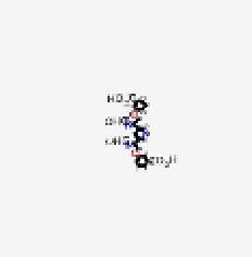 O=CN=C(COc1cccc(C(=O)O)c1)c1cncc(C(COc2cccc(C(=O)O)c2)=NC=O)c1